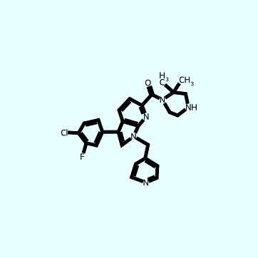 CC1(C)CNCCN1C(=O)c1ccc2c(-c3ccc(Cl)c(F)c3)cn(Cc3ccncc3)c2n1